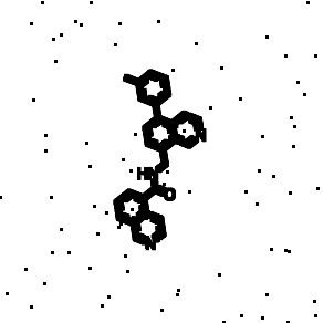 Cc1cccc(-c2ccc(CNC(=O)c3cccc4cnccc34)c3cnccc23)c1